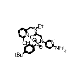 CCN(Cc1cccc(C)n1)C(=O)CN(c1ccc(N)nc1)S(=O)(=O)c1ccc(C(C)(C)C)cc1